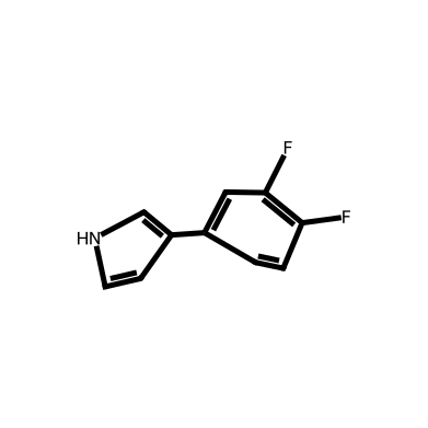 Fc1ccc(-c2cc[nH]c2)cc1F